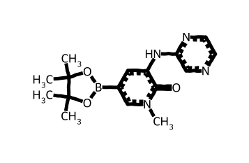 Cn1cc(B2OC(C)(C)C(C)(C)O2)cc(Nc2cnccn2)c1=O